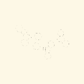 c1ccc(-n2c3sc4ccccc4c3c3cccc(-c4ccc(-n5c6ccccc6c6cc(-n7c8ccccc8c8ccccc87)ccc65)cc4)c32)cc1